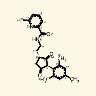 Cc1cc(C)c([C@H]2C(=O)C[C@H](CCNC(=O)c3cccc(F)n3)C2=O)c(C)c1